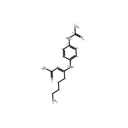 CCCCCC(=CC(=O)O)Nc1ccc(NC(C)=O)cc1